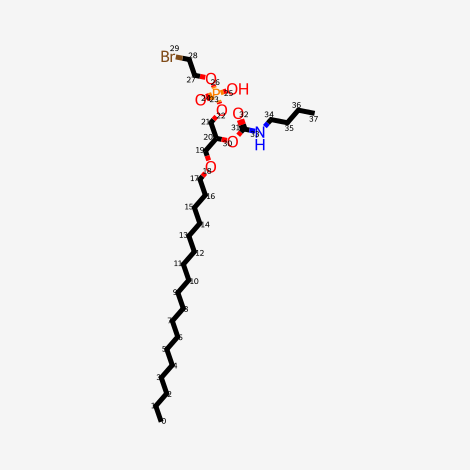 CCCCCCCCCCCCCCCCCCOCC(COP(=O)(O)OCCBr)OC(=O)NCCCC